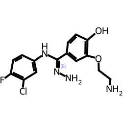 NCCOc1cc(/C(=N\N)Nc2ccc(F)c(Cl)c2)ccc1O